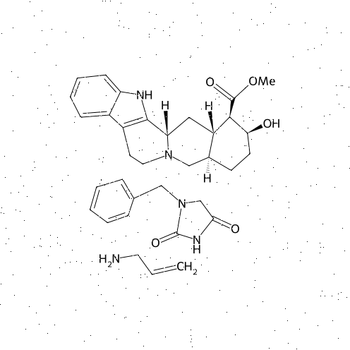 C=CCN.COC(=O)[C@@H]1[C@H]2C[C@H]3c4[nH]c5ccccc5c4CCN3C[C@@H]2CC[C@@H]1O.O=C1CN(Cc2ccccc2)C(=O)N1